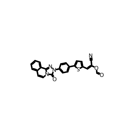 N#C/C(=C\c1ccc(-c2ccc(-n3nc4c5ccccc5ccn4c3=O)cc2)s1)OC=O